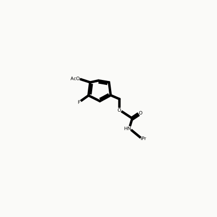 CC(=O)Oc1ccc(COC(=O)NC(C)C)cc1F